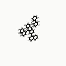 c1ccc2c(-c3ccc4c(-c5cccc6c5oc5ccccc56)c5ccccc5c(-c5cccc6ccccc56)c4c3)cccc2c1